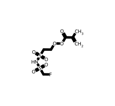 C=C(C)C(=O)OOCCS(=O)(=O)NS(=O)(=O)CF